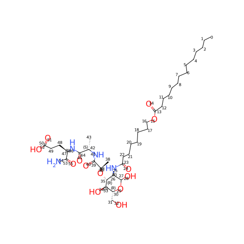 CCCCCCCCCCCCCC(=O)OCCCCCCCC(=O)N[C@H]1C(O)O[C@H](CO)[C@@H](O)[C@@H]1O[C@H](C)C(=O)N[C@@H](C)C(=O)N[C@H](CCC(=O)O)C(N)=O